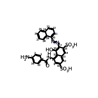 Nc1ccc(C(=O)Nc2cc(S(=O)(=O)O)cc3cc(S(=O)(=O)O)c(/N=N/c4cccc5ccccc45)c(O)c23)cc1